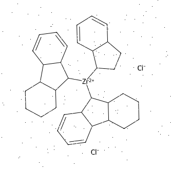 C1=CC2CC[CH]([Zr+2]([CH]3C4C=CC=CC4C4CCCCC43)[CH]3C4C=CC=CC4C4CCCCC43)C2C=C1.[Cl-].[Cl-]